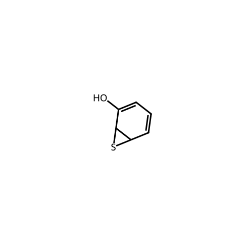 OC1=CC=CC2SC12